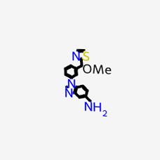 COC(c1cccc(-n2cnc3cc(CN)ccc32)c1)c1nccs1